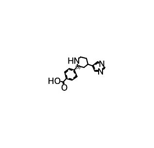 O=C(O)c1ccc([C@@H]2CC(c3cncnc3)CCN2)cc1